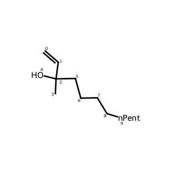 C=CC(C)(O)CCCCCCCCC